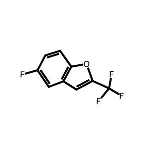 Fc1ccc2oc(C(F)(F)F)cc2c1